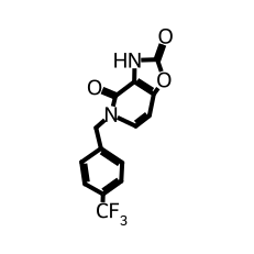 O=c1[nH]c2c(=O)n(Cc3ccc(C(F)(F)F)cc3)ccc2o1